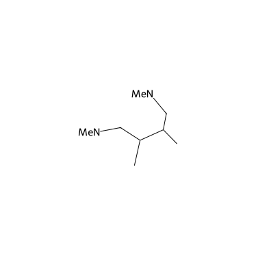 CNCC(C)C(C)CNC